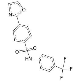 O=S(=O)(Nc1ccc(C(F)(F)F)cc1)c1ccc(-c2ncco2)cc1